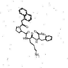 NCCCCC(NC(=O)C1CCCN1C(=O)Cc1cccc2ccccc12)C(=O)NC(Cc1ccccc1)C(N)=O